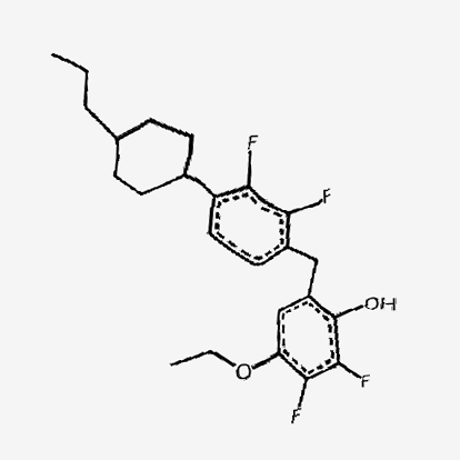 CCCC1CCC(c2ccc(Cc3cc(OCC)c(F)c(F)c3O)c(F)c2F)CC1